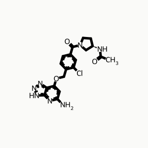 CC(=O)N[C@H]1CCN(C(=O)c2ccc(COc3cc(N)nc4[nH]nnc34)c(Cl)c2)C1